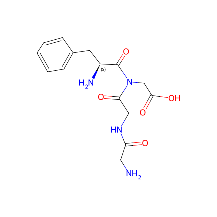 NCC(=O)NCC(=O)N(CC(=O)O)C(=O)[C@@H](N)Cc1ccccc1